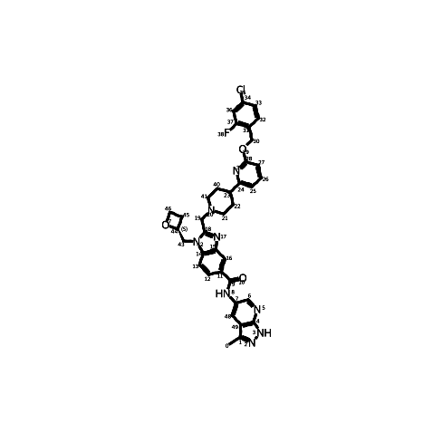 Cc1n[nH]c2ncc(NC(=O)c3ccc4c(c3)nc(CN3CCC(c5cccc(OCc6ccc(Cl)cc6F)n5)CC3)n4C[C@@H]3CCO3)cc12